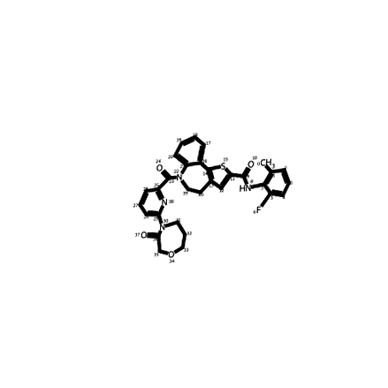 Cc1cccc(F)c1NC(=O)c1cc2c(s1)-c1ccccc1N(C(=O)c1cccc(N3CCCOCC3=O)n1)CC2